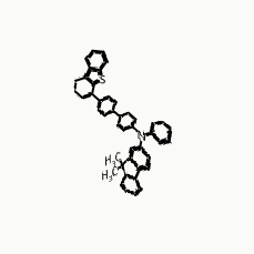 CC1(C)c2ccccc2-c2ccc(N(c3ccccc3)c3ccc(-c4ccc(C5=CCCc6c5sc5ccccc65)cc4)cc3)cc21